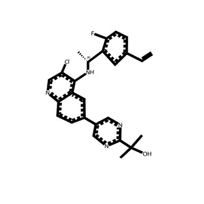 C=Cc1ccc(F)c([C@@H](C)Nc2c(Cl)cnc3ccc(-c4cnc(C(C)(C)O)nc4)cc23)c1